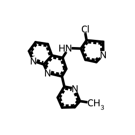 Cc1cccc(-c2cc(Nc3ccncc3Cl)c3cccnc3n2)n1